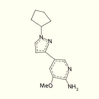 COc1cc(-c2ccn(C3CCCC3)n2)cnc1N